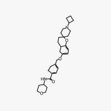 O=C(NC1CCOCC1)C1=CC=C(COC2=CC=C3OC4(CCC3C2)CCN(C2CCC2)CC4)CC1